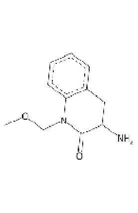 COCN1C(=O)C(N)Cc2ccccc21